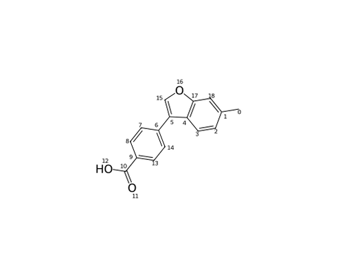 Cc1ccc2c(-c3ccc(C(=O)O)cc3)coc2c1